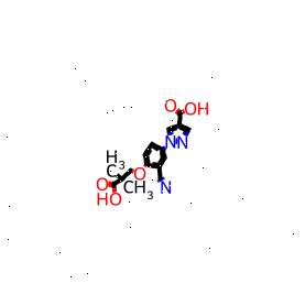 CC(C)(COc1ccc(-n2cc(C(=O)O)cn2)cc1C#N)C(=O)O